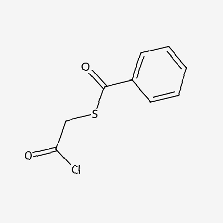 O=C(Cl)CSC(=O)c1ccccc1